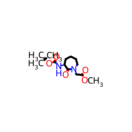 COC(=O)CN1CCCC[C@H](NC(=O)OC(C)(C)C)C1=O